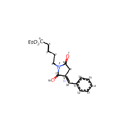 CCOC(=O)CCCCN1C(=O)C/C(=C\c2ccccc2)C1=O